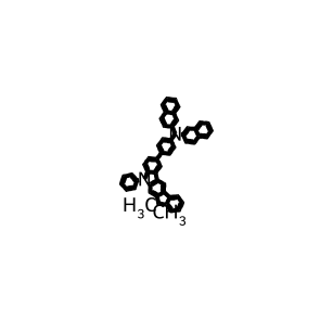 CC1(C)c2ccccc2-c2cc3c4cc(-c5ccc(N(c6ccc7ccccc7c6)c6ccc7ccccc7c6)cc5)ccc4n(-c4ccccc4)c3cc21